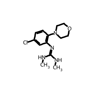 CNC(=Nc1cc(Cl)ccc1N1CCOCC1)NC